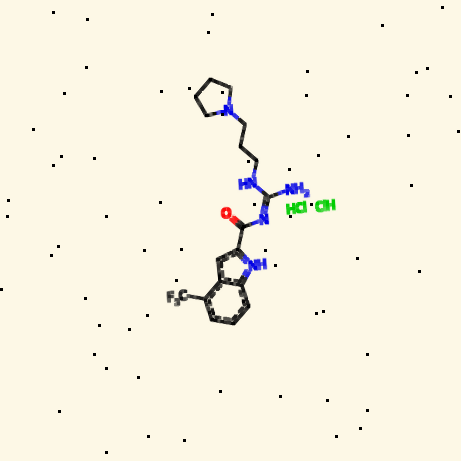 Cl.Cl.NC(=NC(=O)c1cc2c(C(F)(F)F)cccc2[nH]1)NCCCN1CCCC1